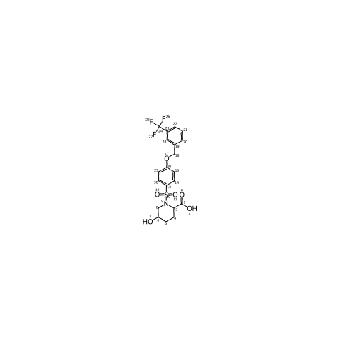 O=C(O)C1CCC(O)CN1S(=O)(=O)c1ccc(OCc2cccc(C(F)(F)F)c2)cc1